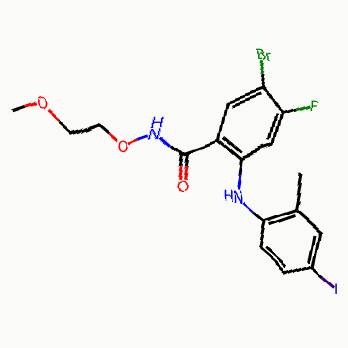 COCCONC(=O)c1cc(Br)c(F)cc1Nc1ccc(I)cc1C